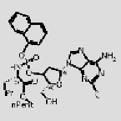 CCCCCOC(=O)[C@H](CC(C)C)NP(=O)(Oc1cccc2ccccc12)OC1C[C@H](n2cnc3c(N)nc(Cl)nc32)O[C@@H]1CO